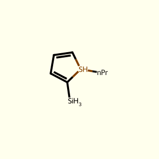 CCC[SH]1C=CC=C1[SiH3]